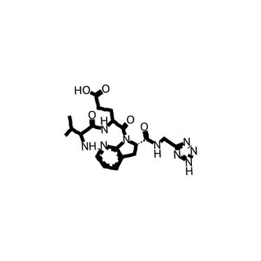 CC(C)C(N)C(=O)NC(CCC(=O)O)C(=O)N1c2ncccc2C[C@H]1C(=O)NCc1nn[nH]n1